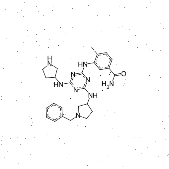 Cc1ccc(C(N)=O)cc1Nc1nc(NC2CCNC2)nc(NC2CCN(Cc3ccccc3)C2)n1